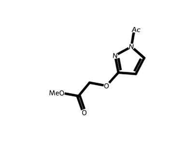 COC(=O)COc1ccn(C(C)=O)n1